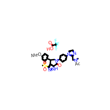 COc1ccc(C2CN(c3ccc(-n4ccnc4CN(C)C(C)=O)cc3)C(=O)c3[nH]nc(S(C)(=O)=O)c32)cc1.O=C(O)C(F)(F)F